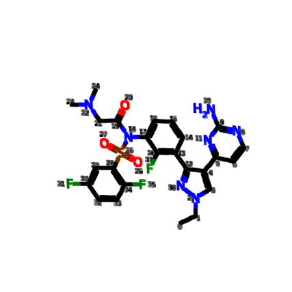 CCn1cc(-c2ccnc(N)n2)c(-c2cccc(N(C(=O)CN(C)C)S(=O)(=O)c3cc(F)ccc3F)c2F)n1